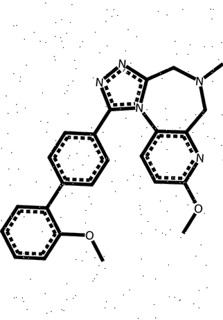 COc1ccc2c(n1)CN(C)Cc1nnc(-c3ccc(-c4ccccc4OC)cc3)n1-2